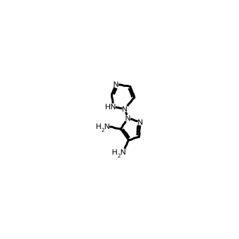 Nc1cnn(N2C=CN=CN2)c1N